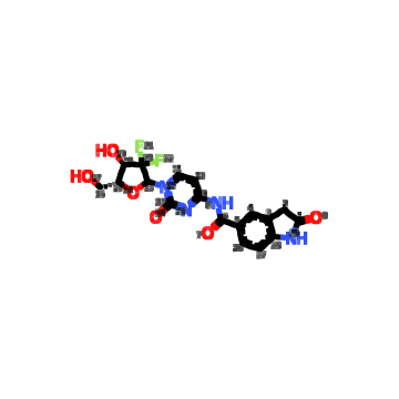 O=C1Cc2cc(C(=O)Nc3ccn(C4O[C@H](CO)[C@@H](O)C4(F)F)c(=O)n3)ccc2N1